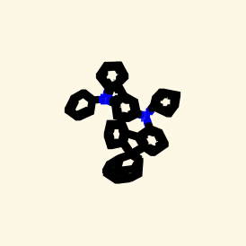 C1=CCC(n2c3ccccc3c3cc(N(c4ccccc4)c4cccc5c4-c4ccccc4C54C5CC6CC(C5)CC4C6)ccc32)C=C1